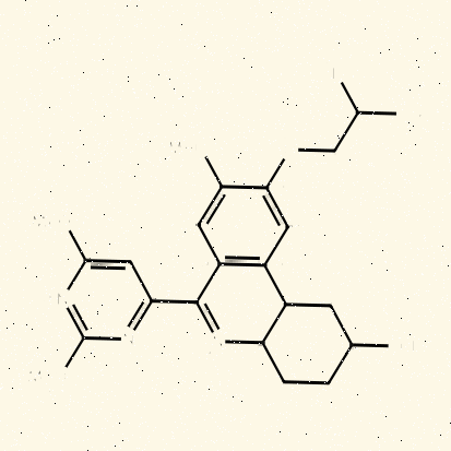 COc1cc(C2=NC3CCC(O)CC3c3cc(OCC(F)F)c(OC)cc32)nc(OC)n1